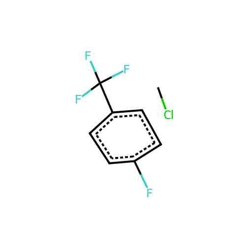 CCl.Fc1ccc(C(F)(F)F)cc1